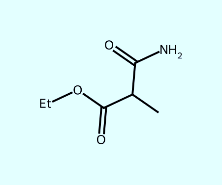 CCOC(=O)C(C)C(N)=O